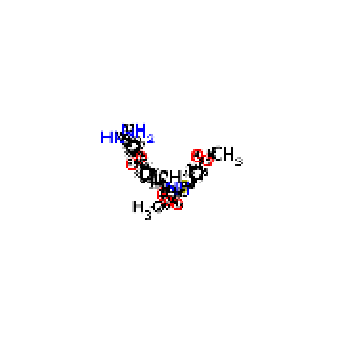 CCOC(=O)c1ccc(CSC[C@H](NC(=O)/C(C)=C/c2ccc(C(=O)Oc3ccc(C(=N)N)cc3)cc2)C(=O)OCC)cc1